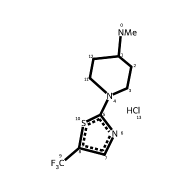 CNC1CCN(c2ncc(C(F)(F)F)s2)CC1.Cl